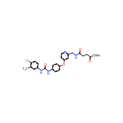 COC(=O)CCC(=O)NCc1cc(Oc2ccc(NC(=O)Nc3ccc(Cl)c(C(F)(F)F)c3)cc2)ccn1